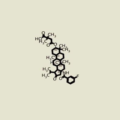 CC(C)C1C(=O)C[C@]2(NC(=O)c3cccc(F)c3)CC[C@]3(C)C(CCC4[C@@]5(C)CC[C@H](OC(=O)CC(C)(C)C(=O)O)C(C)(C)C5CC[C@]43C)C12